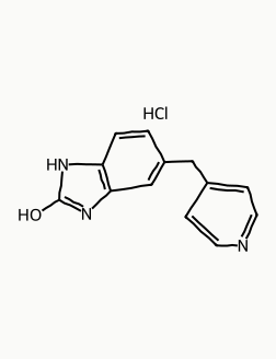 Cl.Oc1nc2cc(Cc3ccncc3)ccc2[nH]1